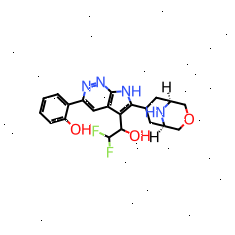 Oc1ccccc1-c1cc2c(C(O)C(F)F)c(C3C[C@H]4COC[C@@H](C3)N4)[nH]c2nn1